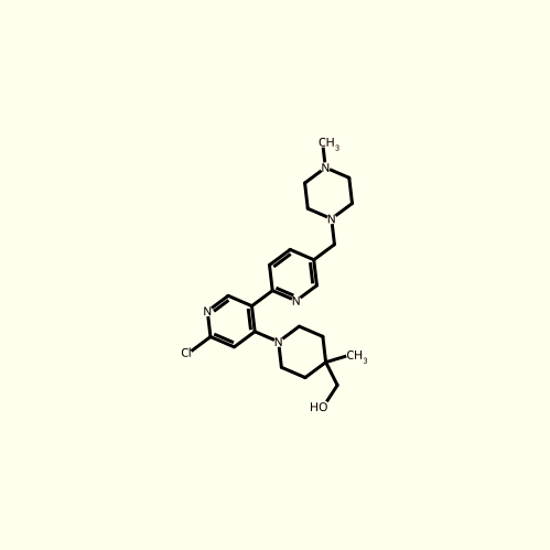 CN1CCN(Cc2ccc(-c3cnc(Cl)cc3N3CCC(C)(CO)CC3)nc2)CC1